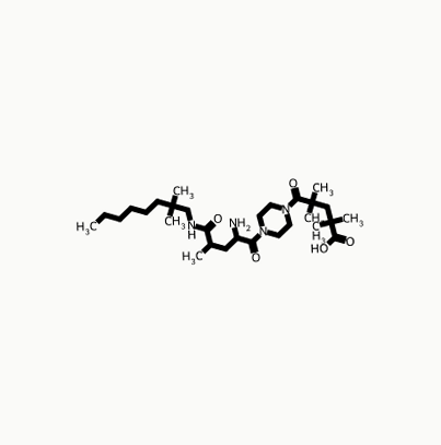 CCCCCCC(C)(C)CNC(=O)C(C)CC(N)C(=O)N1CCN(C(=O)C(C)(C)CC(C)(C)C(=O)O)CC1